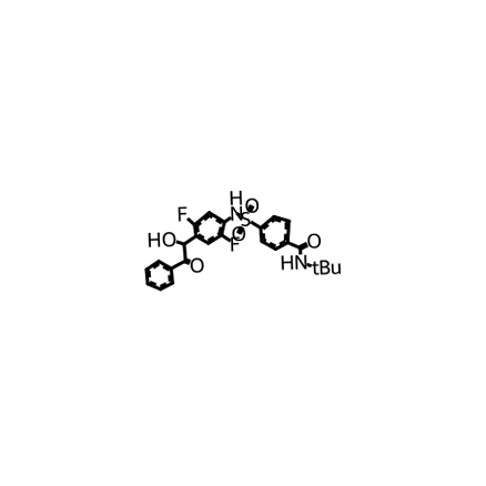 CC(C)(C)NC(=O)c1ccc(S(=O)(=O)Nc2cc(F)c(C(O)C(=O)c3ccccc3)cc2F)cc1